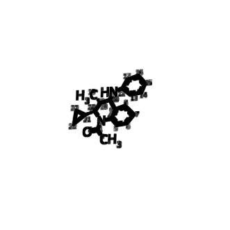 CC(=O)N1c2ccccc2C(Nc2ccccc2)[C@@H](C)[C@@H]1C1CC1